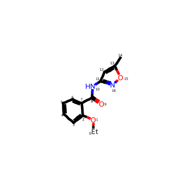 CCOc1ccccc1C(=O)Nc1cc(C)on1